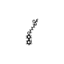 C=CC(=O)OCCCCCCOc1ccc(-c2cc[c]cn2)cc1